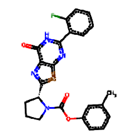 Cc1cccc(OC(=O)N2CCC[C@@H]2c2nc3c(=O)[nH]c(-c4ccccc4F)nc3s2)c1